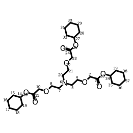 O=C(COCCN(CCOCC(=O)OC1CCCCC1)CCOCC(=O)OC1CCCCC1)OC1CCCCC1